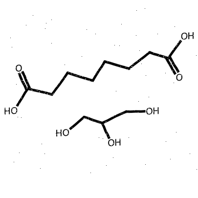 O=C(O)CCCCCCC(=O)O.OCC(O)CO